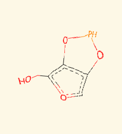 Oc1occ2c1OPO2